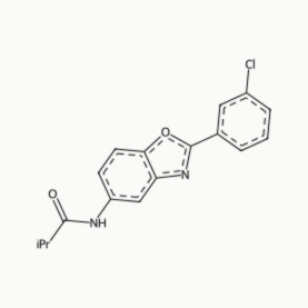 CC(C)C(=O)Nc1ccc2oc(-c3cccc(Cl)c3)nc2c1